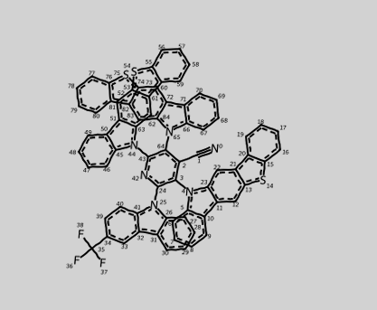 N#Cc1c(-n2c3ccccc3c3cc4sc5ccccc5c4cc32)c(-n2c3ccccc3c3cc(C(F)(F)F)ccc32)nc(-n2c3ccccc3c3cc4sc5ccccc5c4cc32)c1-n1c2ccccc2c2cc3sc4ccccc4c3cc21